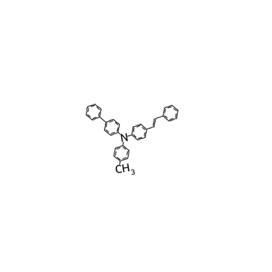 Cc1ccc(N(c2ccc(/C=C/c3ccccc3)cc2)c2ccc(-c3ccccc3)cc2)cc1